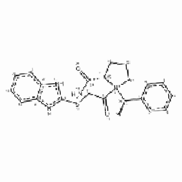 C[C@H](c1ccccc1)[N+]1(C(=O)CSc2nc3ccccc3[nH]2)CCC[C@H]1C(N)=O